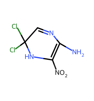 NC1=C([N+](=O)[O-])NC(Cl)(Cl)C=N1